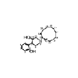 Oc1ccccc1C1CCN(C2CCCCCCCCCC2)CC1O